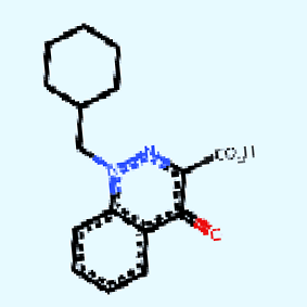 O=C(O)c1nn(CC2CCCCC2)c2ccccc2c1=O